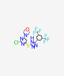 FC(F)(F)c1cc(-c2nnc(Sc3cc(N4CCOCC4)nc(Cl)n3)[nH]2)cc(C(F)(F)F)c1